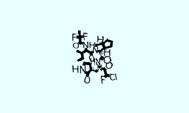 CCC(C)C(NC(=O)C(C)(F)F)C(=O)N1C[C@@H]2CCC[C@@H]2[C@H]1C(=O)NN(C[C@@H]1CCNC1=O)C(=O)C(F)Cl